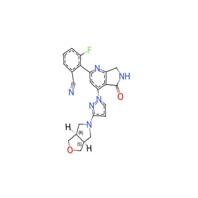 N#Cc1cccc(F)c1-c1cc(-n2ccc(N3C[C@H]4COC[C@H]4C3)n2)c2c(n1)CNC2=O